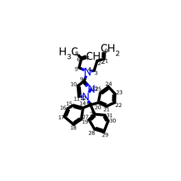 C=CCCN(CC(=C)C)c1ccn(C(c2ccccc2)(c2ccccc2)c2ccccc2)n1